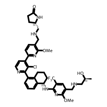 COc1nc(-c2ccnc(-c3cccc4c3CCC[C@@H]4Nc3nc(OC)c(CNC[C@H](C)O)cc3C(F)(F)F)c2Cl)ccc1CNC[C@@H]1CCC(=O)N1